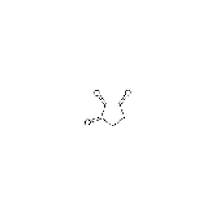 O=C1CCC(=O)C1=O